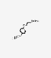 CCCCCCCCCCOc1ccc(CC=O)cc1